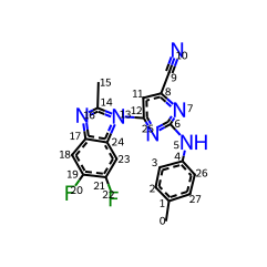 Cc1ccc(Nc2nc(C#N)cc(-n3c(C)nc4cc(F)c(F)cc43)n2)cc1